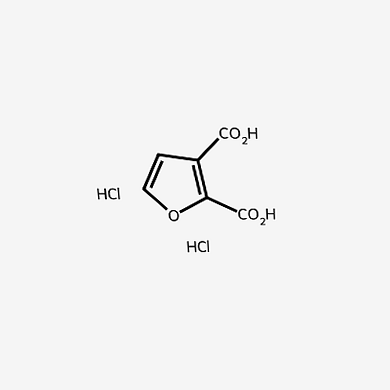 Cl.Cl.O=C(O)c1ccoc1C(=O)O